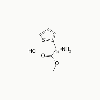 COC(=O)[C@@H](N)c1cccs1.Cl